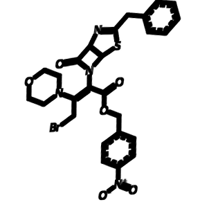 O=C(OCc1ccc([N+](=O)[O-])cc1)C(=C(CBr)N1CCOCC1)N1C(=O)C2N=C(Cc3ccccc3)SC21